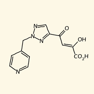 O=C(O)/C(O)=C/C(=O)c1cnn(Cc2ccncc2)n1